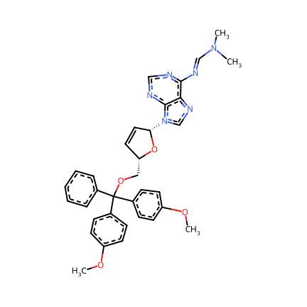 COc1ccc(C(OC[C@@H]2C=C[C@H](n3cnc4c(N=CN(C)C)ncnc43)O2)(c2ccccc2)c2ccc(OC)cc2)cc1